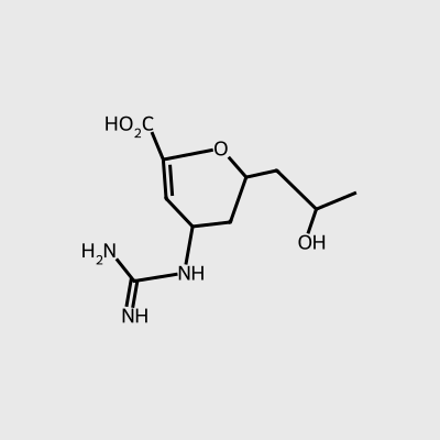 CC(O)CC1CC(NC(=N)N)C=C(C(=O)O)O1